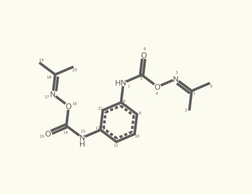 CC(C)=NOC(=O)Nc1cccc(NC(=O)ON=C(C)C)c1